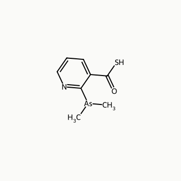 C[As](C)c1ncccc1C(=O)S